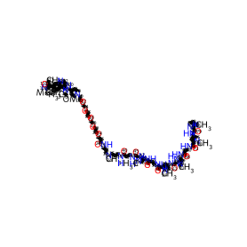 COC[C@@H](C)n1c(C2CCN(CCOCCOCCOCCOCCOCCC(=O)NCCCN(C)CCCNC(=O)CCNC(=O)c3nc(NC(=O)CCNC(=O)c4cc(NC(=O)c5nc(NC(=O)CCNC(=O)c6cc(NC(=O)c7nccn7C)cn6C)cn5C)cn4C)cn3C)CC2)nc2cnc3cc(-c4c(C)noc4C)c(OC)cc3c21